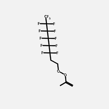 C=C(C)OOCCC(F)(F)C(F)(F)C(F)(F)C(F)(F)C(F)(F)C(F)(F)F